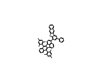 Cc1cc(C)c(-c2c3c(c(-c4c(C)cc(C)cc4C)c4ccccc24)-c2ccc(-c4cc(-c5ccccc5)cc5c4sc4cc6ccccc6cc45)c4cccc-3c24)c(C)c1